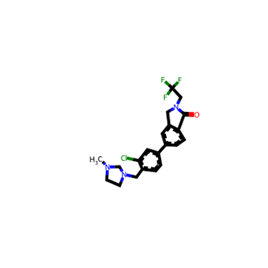 CN1CCN(Cc2ccc(-c3ccc4c(c3)CN(CC(F)(F)F)C4=O)cc2Cl)C1